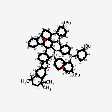 CC(C)(C)c1ccc(N2B3c4cc(N(c5cccc(C(C)(C)C)c5)c5cccc(C(C)(C)C)c5)ccc4N(c4ccc(C(C)(C)C)cc4-c4ccccc4)c4cc5oc6ccccc6c5c(c43)-c3ccc4c(oc5cc6c(cc54)C(C)(C)CCC6(C)C)c32)cc1